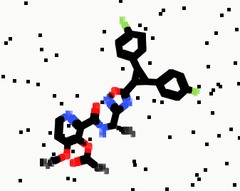 COc1ccnc(C(=O)N[C@@H](C)c2noc(C3C(c4ccc(F)cc4)C3c3ccc(F)cc3)n2)c1OC(C)=O